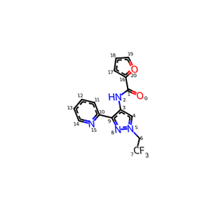 O=C(Nc1cn(CC(F)(F)F)nc1-c1ccccn1)c1ccco1